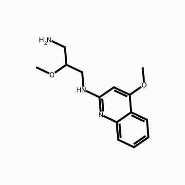 COc1cc(NCC(CN)OC)nc2ccccc12